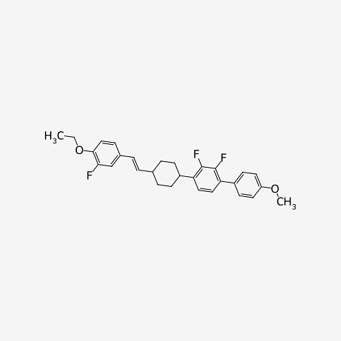 CCOc1ccc(/C=C/C2CCC(c3ccc(-c4ccc(OC)cc4)c(F)c3F)CC2)cc1F